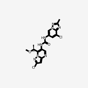 CO[C@@H](C)c1c(NC(=O)Nc2cc(Cl)c3nc(C)nn3c2)cnc2cc(Cl)nn12